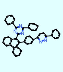 c1ccc(-c2ccc(-c3ccc(-c4c(-c5nc(-c6ccccc6)nc(-c6ccccc6)n5)c5ccccc5c5ccccc45)cc3)nn2)cc1